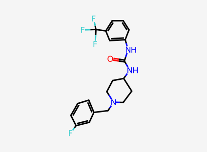 O=C(Nc1cccc(C(F)(F)F)c1)NC1CCN(Cc2cccc(F)c2)CC1